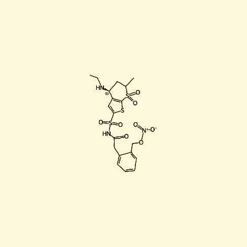 CCN[C@H]1CC(C)S(=O)(=O)c2sc(S(=O)(=O)NC(=O)Cc3ccccc3CO[N+](=O)[O-])cc21